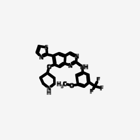 COc1cc(Nc2ncc3cc(-c4nccs4)c(OC4CCNCC4)cc3n2)cc(C(F)(F)F)c1